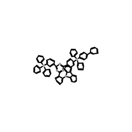 c1ccc(-c2ccc(S(c3ccccc3)(c3ccccc3)c3ccc(-c4nc(-c5cccc(S(c6ccccc6)(c6ccccc6)c6ccccc6)c5)nc(-c5ccccc5-n5c6ccccc6c6ccccc65)n4)cc3)cc2)cc1